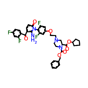 Nc1c(C(=O)c2ccc(F)cc2F)ccc(=O)n1-c1c(F)cc(OCCN2CCN(C(=O)OCc3ccccc3)C(C(=O)OC3CCCC3)C2)cc1F